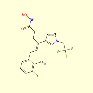 Cc1c(F)cccc1C/C=C(\CCC(=O)NO)c1cnn(CC(F)(F)F)c1